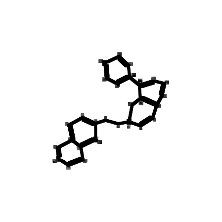 C1=CN(CCc2ccc3cnccc3n2)Cc2c1cccc2-c1ccncc1